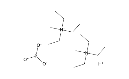 CC[N+](C)(CC)CC.CC[N+](C)(CC)CC.[H+].[O-]P([O-])[O-]